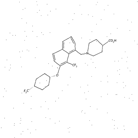 O=C(O)C1CCN(Cc2cccc3ccc(O[C@H]4CC[C@@H](C(F)(F)F)CC4)c(C(F)(F)F)c23)CC1